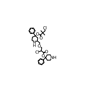 CC(C)(CCl)C(=O)OC1(c2ccccc2)CCNC(COCC(Cl)C(=O)OC2(c3ccccc3)CCNCC2)C1